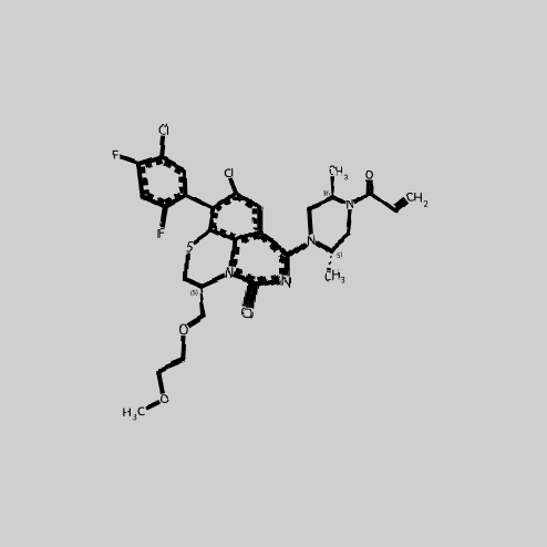 C=CC(=O)N1C[C@H](C)N(c2nc(=O)n3c4c(c(-c5cc(Cl)c(F)cc5F)c(Cl)cc24)SC[C@@H]3COCCOC)C[C@H]1C